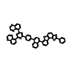 c1ccc(-c2nc3ccc4oc5c(-c6ccc(-c7ccc(-c8nc(-c9cccc%10nccnc9%10)nc(-c9cccc%10nccnc9%10)n8)cc7)c7ccccc67)cccc5c4c3o2)cc1